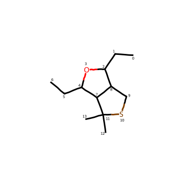 CCC1OC(CC)C2C1CSC2(C)C